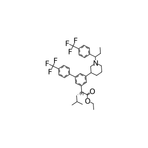 CCOC(=O)[C@H](CC(C)C)c1cc(-c2ccc(C(F)(F)F)cc2)cc(C2CCCN(C(CC)c3ccc(C(F)(F)F)cc3)C2)c1